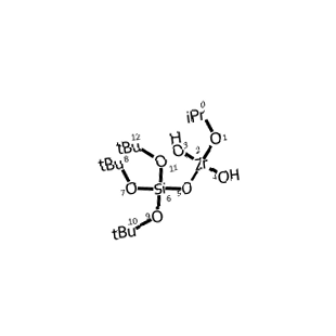 CC(C)[O][Zr]([OH])([OH])[O][Si](OC(C)(C)C)(OC(C)(C)C)OC(C)(C)C